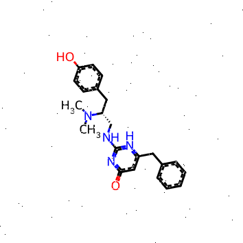 CN(C)[C@@H](CNc1nc(=O)cc(Cc2ccccc2)[nH]1)Cc1ccc(O)cc1